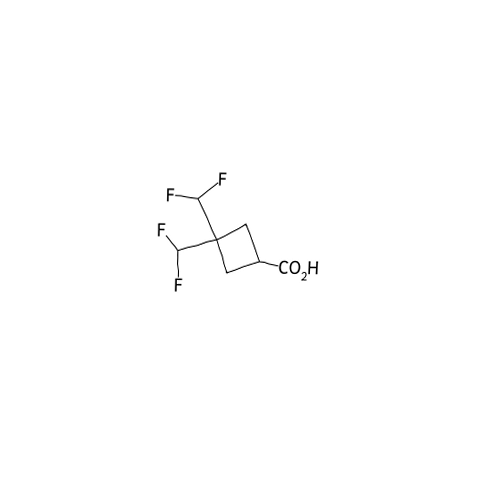 O=C(O)C1CC(C(F)F)(C(F)F)C1